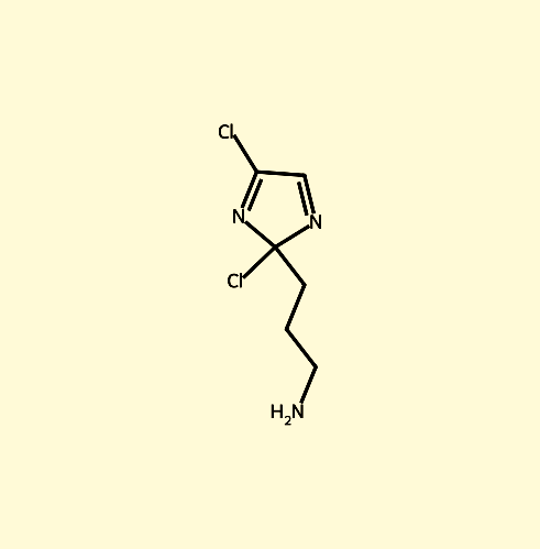 NCCCC1(Cl)N=CC(Cl)=N1